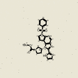 CC(C)(C)OC(=O)N1CC[C@@H](n2c(-c3ncc[nH]3)nc3cnc4c(ccn4S(=O)(=O)c4ccccc4)c32)C1